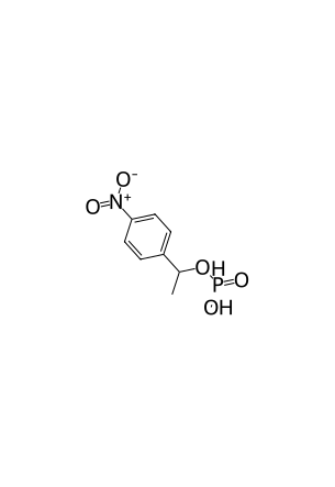 CC(O[PH](=O)O)c1ccc([N+](=O)[O-])cc1